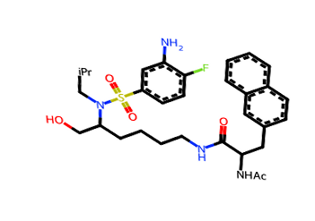 CC(=O)NC(Cc1ccc2ccccc2c1)C(=O)NCCCCC(CO)N(CC(C)C)S(=O)(=O)c1ccc(F)c(N)c1